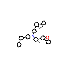 CC1CC=C(N(c2ccc(-c3cccc(-c4ccccc4)c3)cc2)c2ccc(-c3cccc4c3ccc3ccccc34)cc2)C=C1c1ccc2oc3ccccc3c2c1